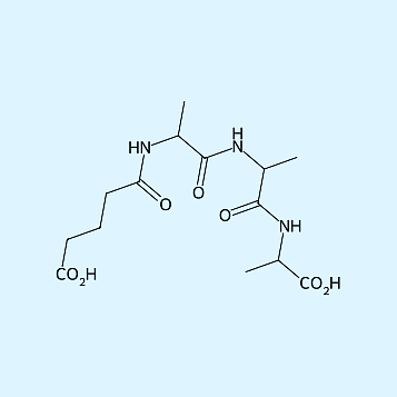 CC(NC(=O)C(C)NC(=O)C(C)NC(=O)CCCC(=O)O)C(=O)O